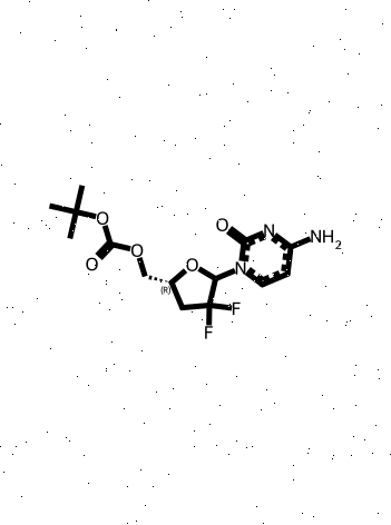 CC(C)(C)OC(=O)OC[C@H]1CC(F)(F)C(n2ccc(N)nc2=O)O1